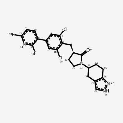 O=C1[C@H](Cc2c(Cl)cc(-c3ccc(F)nc3F)cc2Cl)CCN1C1CCc2n[nH]cc2C1